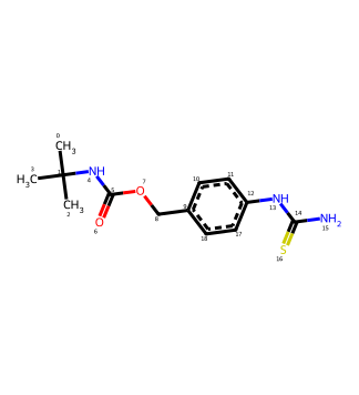 CC(C)(C)NC(=O)OCc1ccc(NC(N)=S)cc1